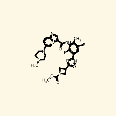 COC(=O)N1CC(c2nc(-c3cc(F)c(C)c(NC(=O)c4cnc5ccc(N6CCN(C)CC6)cn45)c3F)no2)C1